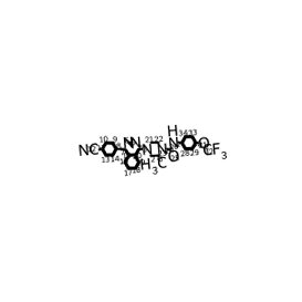 C[C@H]1CN(c2nnc(-c3ccc(C#N)cc3)c3ccccc23)CCN1C(=O)Nc1ccc(OC(F)(F)F)cc1